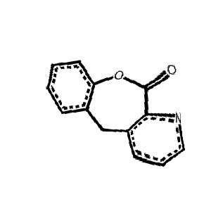 O=C1Oc2ccccc2Cc2cccnc21